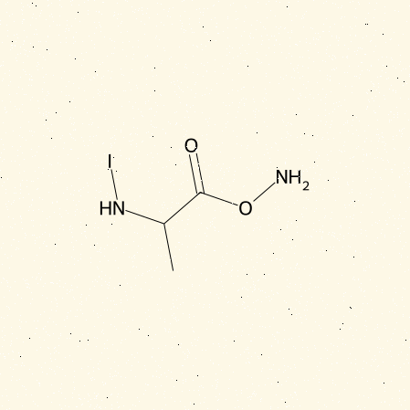 CC(NI)C(=O)ON